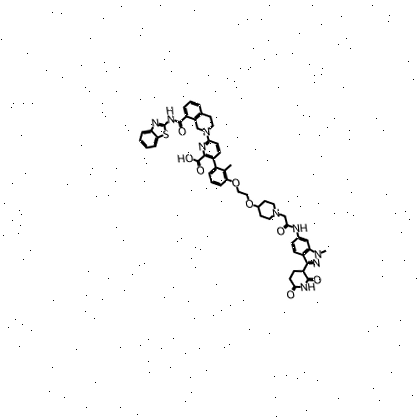 Cc1c(OCCOC2CCN(CC(=O)Nc3ccc4c(C5CCC(=O)NC5=O)nn(C)c4c3)CC2)cccc1-c1ccc(N2CCc3cccc(C(=O)Nc4nc5ccccc5s4)c3C2)nc1C(=O)O